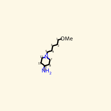 COCCCCCN1CCC(N)CC1